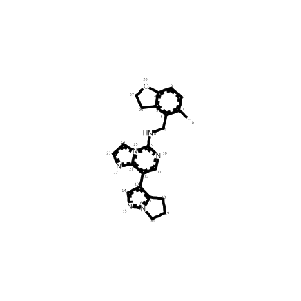 Fc1ccc2c(c1CNc1ncc(-c3cnn4c3CCC4)c3nccn13)CCO2